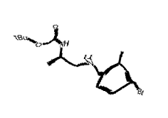 Cc1cc(Br)ccc1NCC(C)NC(=O)OC(C)(C)C